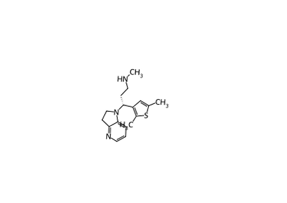 CNCC[C@H](c1cc(C)sc1C)N1CCc2ncccc21